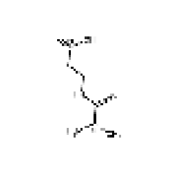 C[C@H](N)C(=O)NCC[PH](=O)O